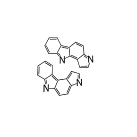 C1=Cc2c3c(ccc2=N1)=c1ccccc1=N3.C1=Nc2ccc3c(c2=C1)=c1ccccc1=N3